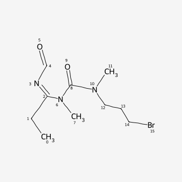 CC/C(=N/C=O)N(C)C(=O)N(C)CCCBr